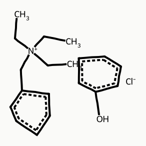 CC[N+](CC)(CC)Cc1ccccc1.Oc1ccccc1.[Cl-]